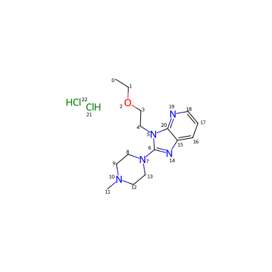 CCOCCn1c(N2CCN(C)CC2)nc2cccnc21.Cl.Cl